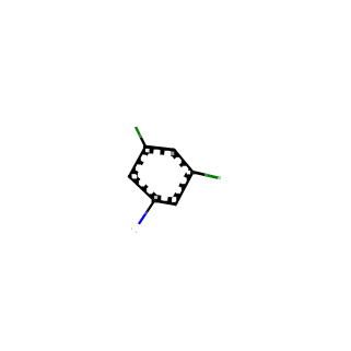 [NH]c1cc(Br)cc(Br)c1